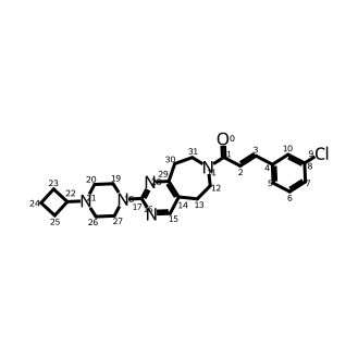 O=C(C=Cc1cccc(Cl)c1)N1CCc2cnc(N3CCN(C4CCC4)CC3)nc2CC1